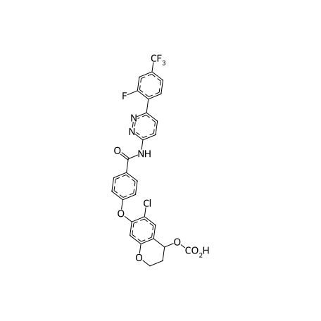 O=C(O)OC1CCOc2cc(Oc3ccc(C(=O)Nc4ccc(-c5ccc(C(F)(F)F)cc5F)nn4)cc3)c(Cl)cc21